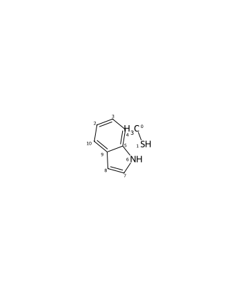 CS.c1ccc2[nH]ccc2c1